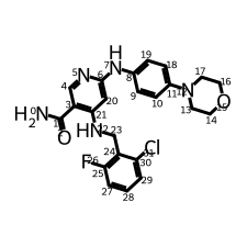 NC(=O)c1cnc(Nc2ccc(N3CCOCC3)cc2)cc1NCc1c(F)cccc1Cl